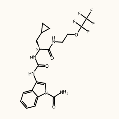 NC(=O)n1cc(NC(=O)N[C@@H](CC2CC2)C(=O)NCCOC(F)(F)C(F)(F)F)c2ccccc21